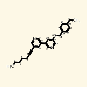 CCCCCC#Cc1cncc(-c2cncc(SCc3ccc(CC)cc3)c2)c1